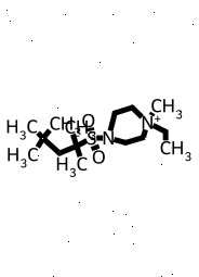 CC[N+]1(C)CCN(S(=O)(=O)C(C)(C)CC(C)(C)C)CC1